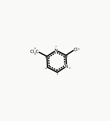 Clc1nccc(C(Cl)(Cl)Cl)n1